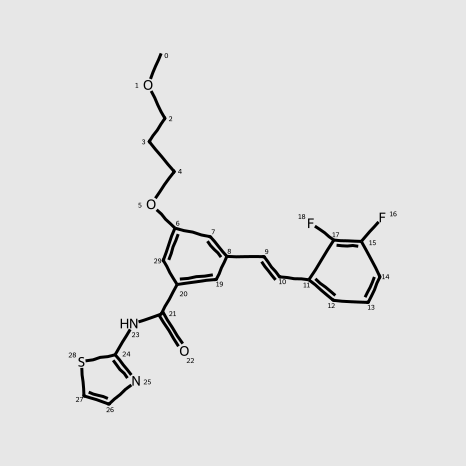 COCCCOc1cc(/C=C/c2cccc(F)c2F)cc(C(=O)Nc2nccs2)c1